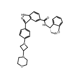 CC(C)C[C@H](NC(=O)c1ccc2[nH]nc(-c3ccc(N4CC(N5CCOCC5)C4)cc3)c2c1)c1ccccc1Cl